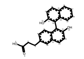 O=C(O)CCc1ccc2c(-c3c(O)ccc4ccccc34)c(O)ccc2c1